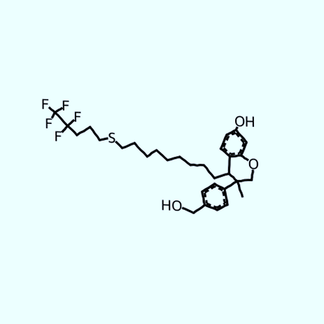 CC1(c2ccc(CO)cc2)COc2cc(O)ccc2C1CCCCCCCCCSCCCC(F)(F)C(F)(F)F